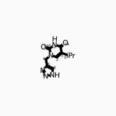 CC(C)c1cn(Cc2c[nH]nn2)c(=O)[nH]c1=O